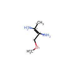 COC/C(N)=C(/C)N